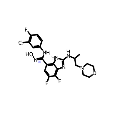 CC(CN1CCOCC1)Nc1nc2c(F)c(F)cc(/C(=N/O)Nc3ccc(F)c(Cl)c3)c2[nH]1